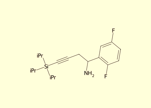 CC(C)[Si](C#CCC(N)c1cc(F)ccc1F)(C(C)C)C(C)C